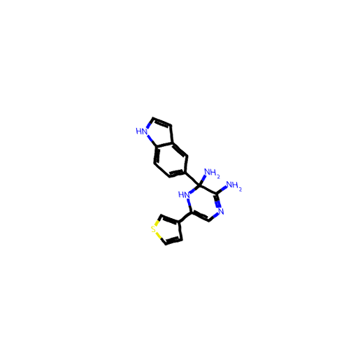 NC1=NC=C(c2ccsc2)NC1(N)c1ccc2[nH]ccc2c1